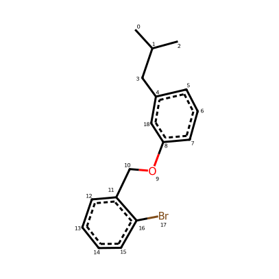 CC(C)Cc1cccc(OCc2ccccc2Br)c1